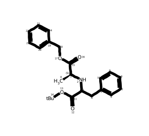 C[C@H](NC(Cc1ccccc1)C(=O)OC(C)(C)C)C(=O)OCc1ccccc1